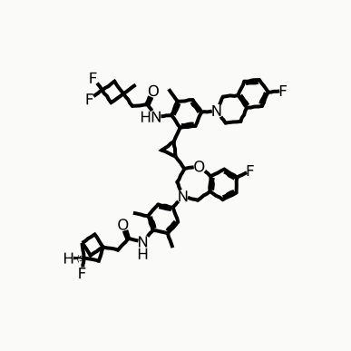 Cc1cc(N2Cc3ccc(F)cc3OC(C3CC3c3cc(N4CCc5cc(F)ccc5C4)cc(C)c3NC(=O)CC3(C)CC(F)(F)C3)C2)cc(C)c1NC(=O)CC12CC(C1)[C@@H](F)C2